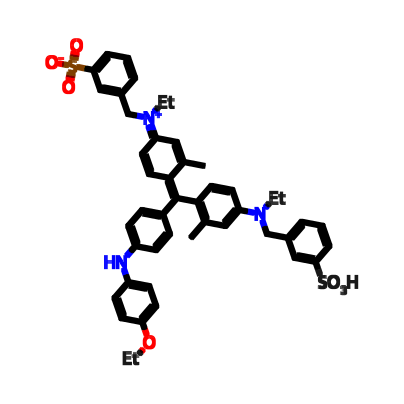 CCOc1ccc(Nc2ccc(/C(=C3C=C/C(=[N+](/CC)Cc4cccc(S(=O)(=O)[O-])c4)C=C\3C)c3ccc(N(CC)Cc4cccc(S(=O)(=O)O)c4)cc3C)cc2)cc1